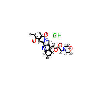 CCC(=O)c1cc2n(c(=O)c1C)Cc1c-2nc2ccccc2c1COC(=O)CN1CCOCC1.Cl